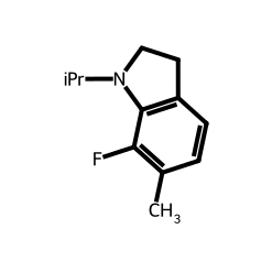 Cc1ccc2c(c1F)N(C(C)C)CC2